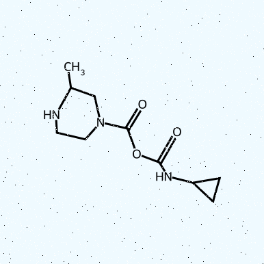 CC1CN(C(=O)OC(=O)NC2CC2)CCN1